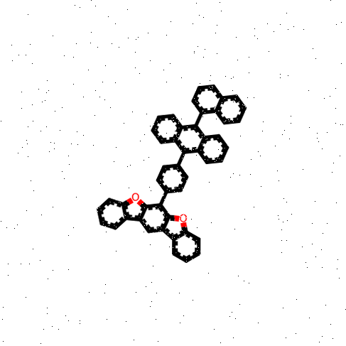 c1ccc2c(-c3c4ccccc4c(-c4ccc(-c5c6oc7ccccc7c6cc6c5oc5ccccc56)cc4)c4ccccc34)cccc2c1